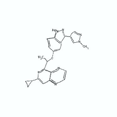 CC(Oc1ccc2[nH]nc(-c3cnn(C)c3)c2c1)c1nc(C2CC2)cc2nccnc12